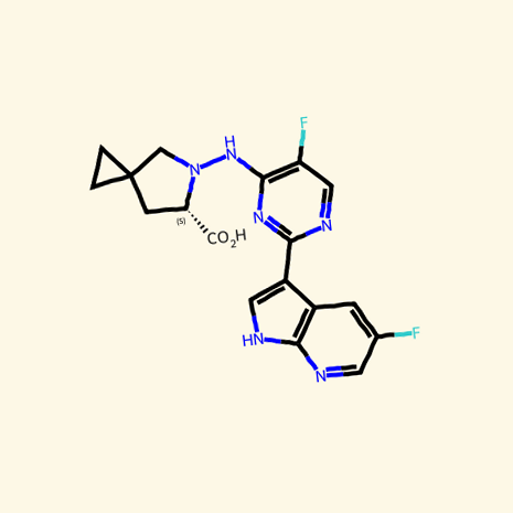 O=C(O)[C@@H]1CC2(CC2)CN1Nc1nc(-c2c[nH]c3ncc(F)cc23)ncc1F